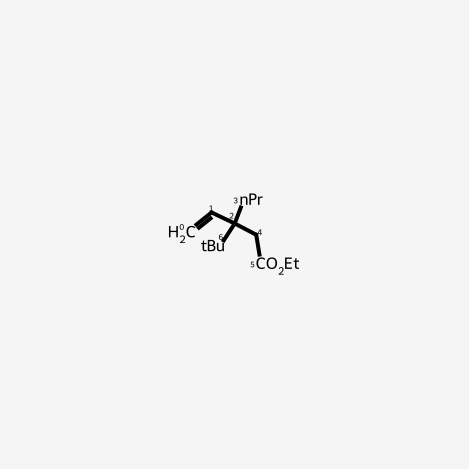 C=CC(CCC)(CC(=O)OCC)C(C)(C)C